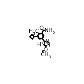 CCOc1nnc(-c2cc(C(N)=O)c(C)c(C3CCC3)c2)[nH]1